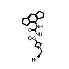 C#CCN1CC([S+]([O-])NC(=O)Nc2c3c(cc4c2CCC4)CCC3)C1